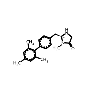 Cc1cc(C)c(-c2ccc(C[C@H]3NCC(=O)N3C)cc2)c(C)c1